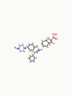 Cc1c(C(=O)O)oc2ccc(SN(CCc3ccccc3)Cc3ccc(N4CCN(C)CC4)cc3)cc12